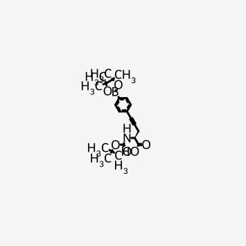 CC(C)(C)OC(=O)N[C@@H](CC#Cc1ccc(B2OC(C)(C)C(C)(C)O2)cc1)C(=O)O